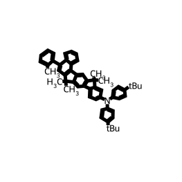 Cc1ccccc1-c1cc2c(c3ccccc13)-c1cc3c(cc1C2(C)C)-c1ccc(N(c2ccc(C(C)(C)C)cc2)c2ccc(C(C)(C)C)cc2)cc1C3(C)C